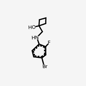 OC1(CNc2ccc(Br)cc2F)CCC1